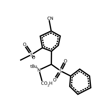 CC(C)(C)N(C(=O)O)C(c1ccc(C#N)cc1S(C)(=O)=O)S(=O)(=O)c1ccccc1